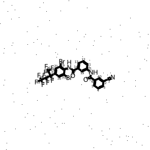 N#Cc1cccc(C(=O)Nc2cccc(C(=O)Nc3c(Br)cc(C(F)(C(F)(F)F)C(F)(F)C(F)(F)F)cc3Br)c2)c1